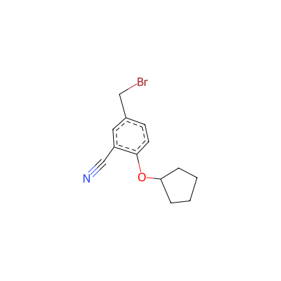 N#Cc1cc(CBr)ccc1OC1CCCC1